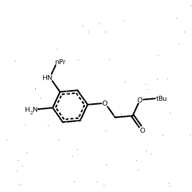 CCCNc1cc(OCC(=O)OC(C)(C)C)ccc1N